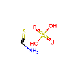 NC=S.O=S(=O)(O)O